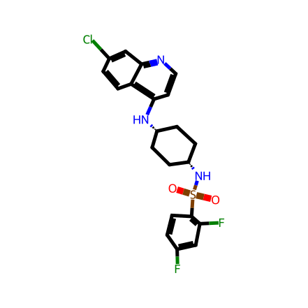 O=S(=O)(N[C@H]1CC[C@@H](Nc2ccnc3cc(Cl)ccc23)CC1)c1ccc(F)cc1F